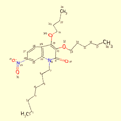 CCCCCCCCn1c(=O)c(OCCCCCC)c(OCCCC)c2ccc([N+](=O)[O-])cc21